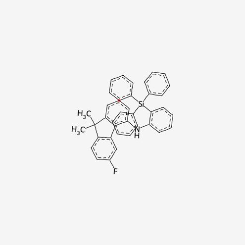 CC1(C)c2ccc(F)cc2-c2c(Nc3ccccc3[Si](c3ccccc3)(c3ccccc3)c3ccccc3)cccc21